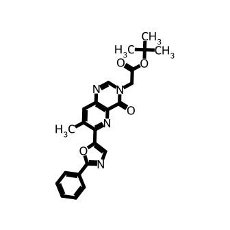 Cc1cc2ncn(CC(=O)OC(C)(C)C)c(=O)c2nc1-c1cnc(-c2ccccc2)o1